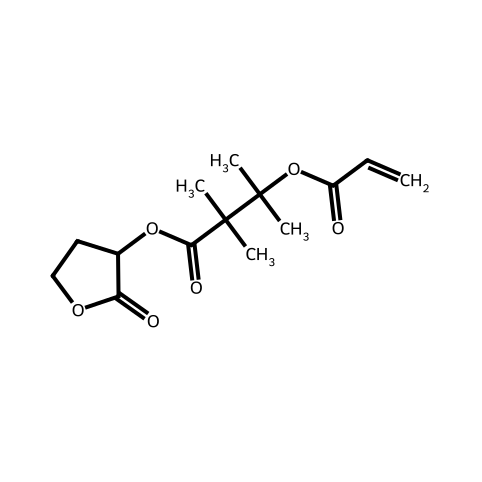 C=CC(=O)OC(C)(C)C(C)(C)C(=O)OC1CCOC1=O